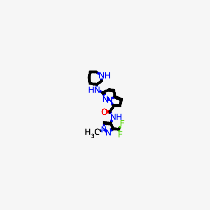 Cn1cc(NC(=O)c2ccc3ccc(NC4CCCCNC4)nn23)c(C(F)F)n1